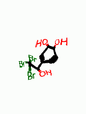 Oc1ccc(C(O)C(Br)(Br)Br)cc1O